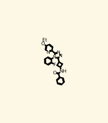 CCOc1ccc(-c2nnc(C3CC(NC(=O)c4ccccc4)C3)n2-c2ccccc2F)nc1